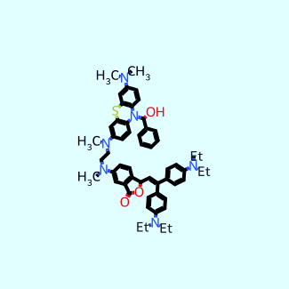 CCN(CC)c1ccc(C(=CC2OC(=O)c3cc(N(C)CCN(C)c4ccc5c(c4)Sc4cc(N(C)C)ccc4N5C(O)c4ccccc4)ccc32)c2ccc(N(CC)CC)cc2)cc1